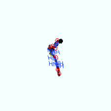 CCOCCOCCNC(=N)NCCNC(=O)c1nc(-c2ncc(OC)c3c(C(=O)C(=O)N4CCN(C(=O)c5ccccc5)CC4)c[nH]c23)cs1